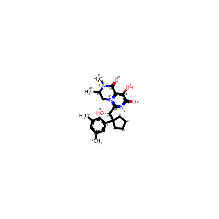 Cc1cc(C)cc(C2([C@H](O)c3nc(=O)c(O)c4n3CC(C)N(C)C4=O)CCCC2)c1